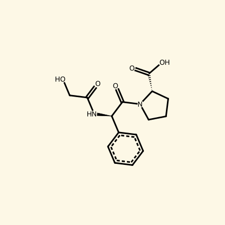 O=C(CO)N[C@@H](C(=O)N1CCC[C@H]1C(=O)O)c1ccccc1